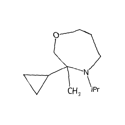 CC(C)N1CCCOCC1(C)C1CC1